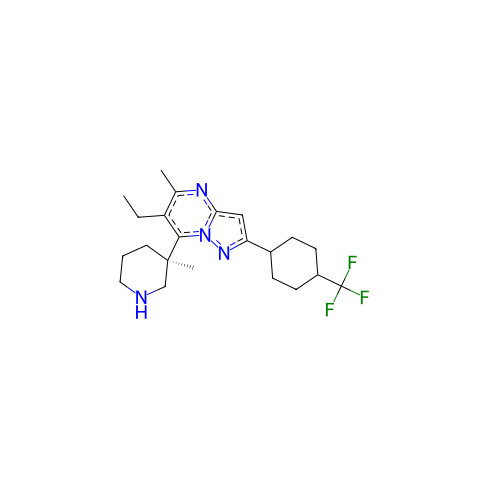 CCc1c(C)nc2cc(C3CCC(C(F)(F)F)CC3)nn2c1[C@]1(C)CCCNC1